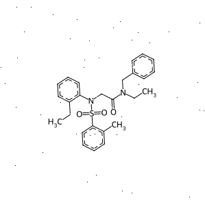 CCc1ccccc1N(CC(=O)N(CC)Cc1ccccc1)S(=O)(=O)c1ccccc1C